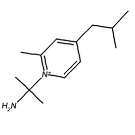 Cc1cc(CC(C)C)cc[n+]1C(C)(C)N